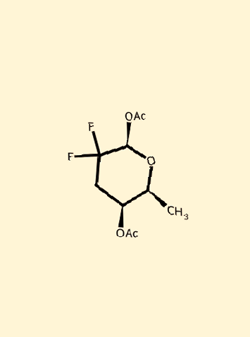 CC(=O)O[C@H]1O[C@@H](C)[C@@H](OC(C)=O)CC1(F)F